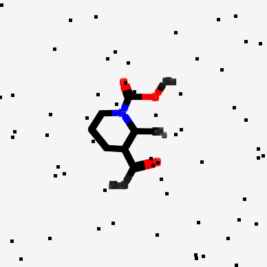 COC(=O)C1CCCN(C(=O)OC(C)(C)C)C1C